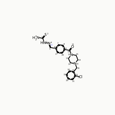 NC(=S)N/N=C/c1ccc(C(=O)N2CCN(Cc3ccccc3Cl)CC2)cc1